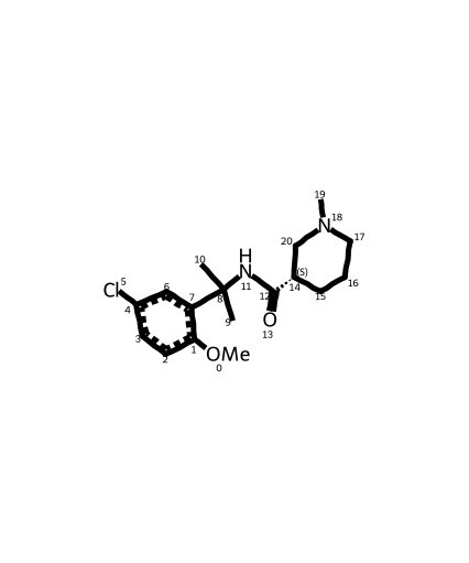 COc1ccc(Cl)cc1C(C)(C)NC(=O)[C@H]1CCCN(C)C1